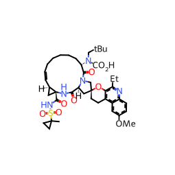 CCc1nc2ccc(OC)cc2c2c1O[C@]1(CC2)C[C@H]2C(=O)N[C@]3(C(=O)NS(=O)(=O)C4(C)CC4)C[C@H]3/C=C\CCCCC[C@H](N(CC(C)(C)C)C(=O)O)C(=O)N2C1